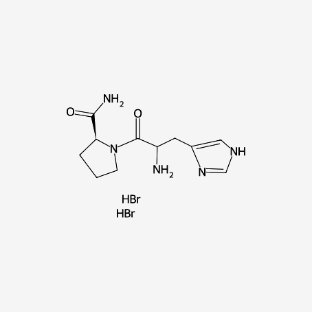 Br.Br.NC(=O)[C@@H]1CCCN1C(=O)C(N)Cc1c[nH]cn1